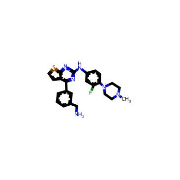 CN1CCN(c2ccc(Nc3nc(-c4cccc(CN)c4)c4ccsc4n3)cc2F)CC1